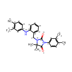 CC1(C)C(=O)N(c2ccc(C#N)c(C(F)(F)F)c2)C(=O)N1Cc1ccccc1Nc1ccc(C#N)c(C(F)(F)F)c1